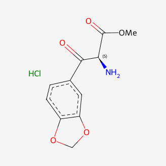 COC(=O)[C@@H](N)C(=O)c1ccc2c(c1)OCO2.Cl